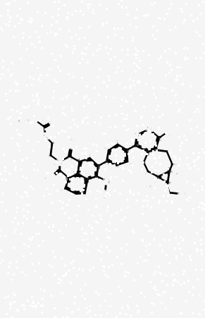 CCCCCC(=O)NCCN1C(=O)c2cccc3c(NCCCC)c(-c4ccc(-c5nnc(C)c6c5CC[C@@H]5[C@H](CO)[C@@H]5CC6)cc4)cc(c23)C1=O